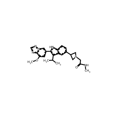 CNC(=O)CN1CC(c2ccc3[nH]c(-c4cc(OC)c5ncnn5c4)c(C(C)C)c3c2)C1